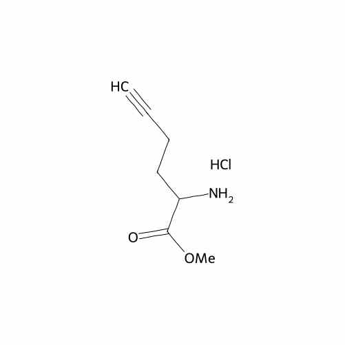 C#CCCC(N)C(=O)OC.Cl